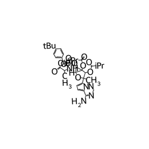 CC(C)COC(=O)[C@H](C)NP(=O)(Oc1ccc(C(C)(C)C)cc1)OC1[C@H]2O[C@@](C)(c3ccc4c(N)ncnn34)[C@H](OC(=O)C(C)C)[C@@]12OC(=O)C(C)C